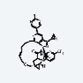 Cc1ncc(-c2cc3c(C4C=N4)nn4c3c(n2)CCC/C=C/COC[C@@]23C[C@@H](C(=O)Nc5nc(C(F)(F)F)ccc5C)N(C(=O)C4)[C@@H]2C3)cn1